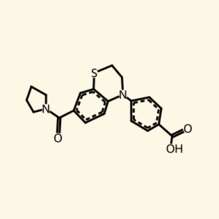 O=C(O)c1ccc(N2CCSc3cc(C(=O)N4CCCC4)ccc32)cc1